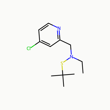 CCN(Cc1cc(Cl)ccn1)SC(C)(C)C